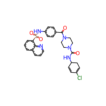 O=C(NC1C=CC(Cl)=CC1)N1CCN(C(=O)c2ccc(NS(=O)(=O)c3cccc4cccnc34)cc2)CC1